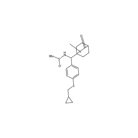 CN1C(=O)C2CCC1(C(N[S+]([O-])C(C)(C)C)c1ccc(SCC3CC3)cc1)CC2